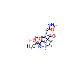 CC1N(Cc2nnco2)C(=O)C12CCCN2C(=O)[C@@H](N)[C@@H](C)O